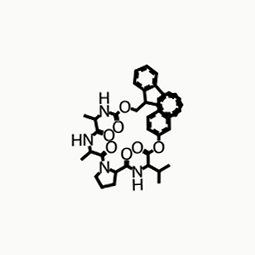 CC(NC(=O)OCC1c2ccccc2-c2ccccc21)C(=O)NC(C)C(=O)N1CCCC1C(=O)NC(C(=O)Oc1ccc2ccccc2c1)C(C)C